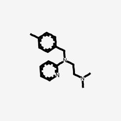 Cc1ccc(CN(CCN(C)C)c2ccccn2)cc1